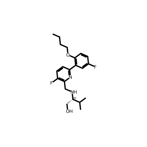 CCCCOc1ccc(F)cc1-c1ccc(F)c(CN[C@@H](CO)C(C)C)n1